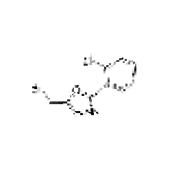 Clc1ccccc1-c1ncc(CBr)o1